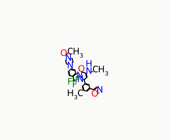 CCNc1cc(-c2cc(C)cc(-c3cnco3)c2)nn(-c2cc(N3CCN(C(C)=O)CC3)ccc2C(F)(F)F)c1=O